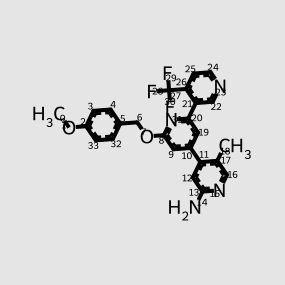 COc1ccc(COc2cc(-c3cc(N)ncc3C)cc(-c3cnccc3C(F)(F)F)n2)cc1